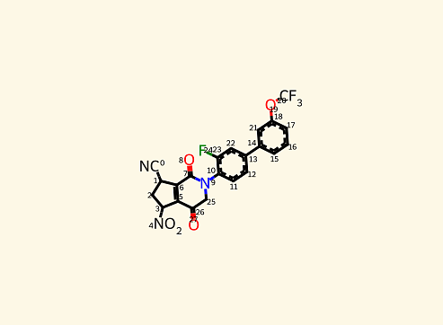 N#CC1CC([N+](=O)[O-])C2=C1C(=O)N(c1ccc(-c3cccc(OC(F)(F)F)c3)cc1F)CC2=O